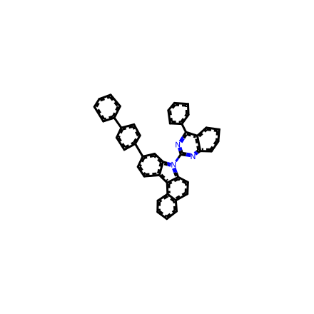 c1ccc(-c2ccc(-c3ccc4c5c6ccccc6ccc5n(-c5nc(-c6ccccc6)c6ccccc6n5)c4c3)cc2)cc1